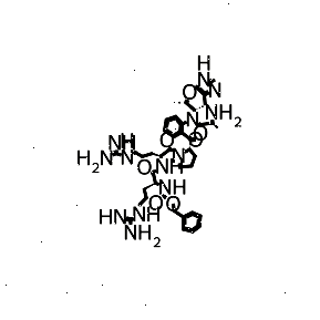 C[C@H](N)C(=O)N(c1ccccc1C(=O)[C@@H]1CCCN1C(=O)[C@H](CCCNC(=N)N)NC(=O)[C@H](CCCNC(=N)N)NC(=O)OCc1ccccc1)[C@H]([C]=O)Cc1c[nH]cn1